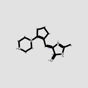 CC1=N/C(=C\C2=C(N3CCOCC3)CCC2)C(=O)O1